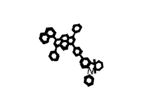 CC12CCCCC1(C)N(c1ccccc1)c1ccc(-c3ccc(-c4cc(-c5ccccc5)c5ccc6c(-c7cccc8ccccc78)cc(-c7ccccc7)c7ccc4c5c76)cc3)cc12